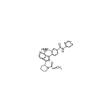 C=CC(=O)N1CCCCC1c1nc(-c2ccc(C(=O)Nc3ccccn3)cc2C)c2c(N)nccn12